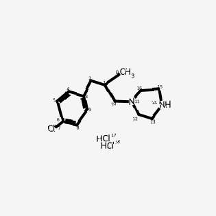 CC(Cc1ccc(Cl)cc1)CN1CCNCC1.Cl.Cl